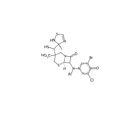 CC(=O)N(C1C(=O)N2CC(C(=O)O)(C(S)C3(C)N=CSN3)CS[C@H]12)n1cc(Cl)c(=O)c(Br)c1